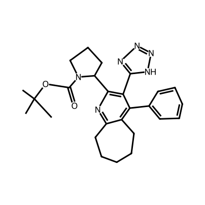 CC(C)(C)OC(=O)N1CCCC1c1nc2c(c(-c3ccccc3)c1-c1nnn[nH]1)CCCCC2